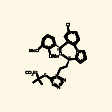 CCOC(=O)C(C)(C)Sc1nnnn1CC[C@H]1O[C@H](c2cccc(OC)c2OC)c2cc(Cl)ccc2-n2cccc21